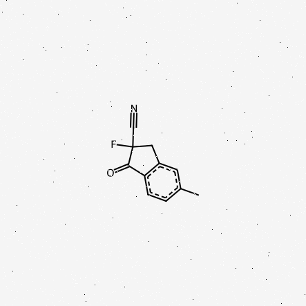 Cc1ccc2c(c1)CC(F)(C#N)C2=O